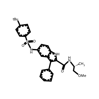 COC[C@@H](C)NC(=O)c1[nH]c2ccc(NS(=O)(=O)c3ccc(C(C)(C)C)cc3)cc2c1-c1ccccc1